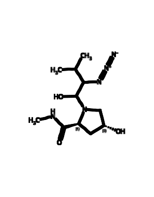 CNC(=O)[C@@H]1C[C@@H](O)CN1C(O)C(N=[N+]=[N-])C(C)C